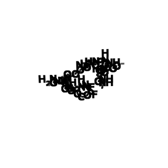 CCCNC(=O)Nc1cccc(S(=O)(=O)Nc2cccc([C@@H](CC(=O)[O-])NC(=O)Nc3ccc(NC(=O)NCCOCCOCCOCCC(=O)N[C@H](C(=O)N[C@@H](CCCNC(N)=O)C(=O)N=[S@@](C)(=O)Cc4cc5cc(c4)OCCCCOc4cc(F)ccc4-c4nc(ncc4F)N5)C(C)C)cc3)c2)c1.[Na+]